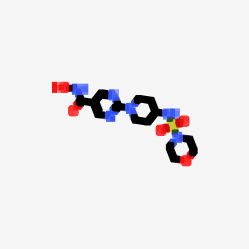 O=C(NO)c1cnc(N2CCC(NS(=O)(=O)N3CCOCC3)CC2)nc1